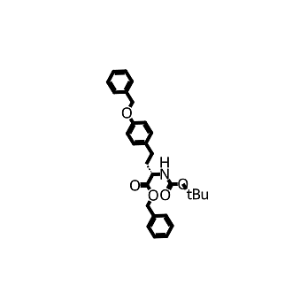 CC(C)(C)OC(=O)N[C@@H](CCc1ccc(OCc2ccccc2)cc1)C(=O)OCc1ccccc1